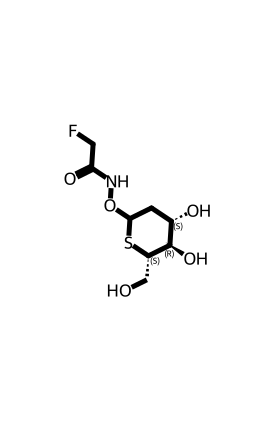 O=C(CF)NOC1C[C@H](O)[C@@H](O)[C@H](CO)S1